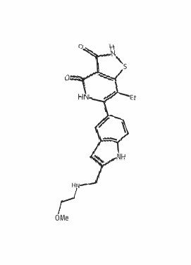 CCc1c(-c2ccc3[nH]c(CNCCOC)cc3c2)[nH]c(=O)c2c(=O)[nH]sc12